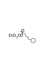 CCOC(=O)OC1(CCCCC2CCCCC2)CO1